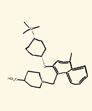 Cc1cc(O[C@H]2CC[C@@H]([Si](C)(C)C)CC2)c(CN2CCC(C(=O)O)CC2)c2ccccc12